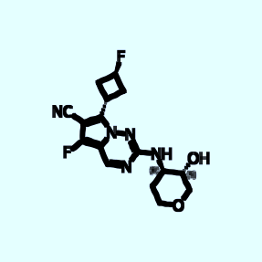 N#Cc1c(F)c2cnc(N[C@@H]3CCOC[C@H]3O)nn2c1[C@H]1C[C@H](F)C1